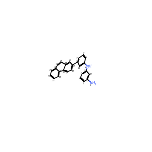 Nc1cccc(Nc2cccc(-c3ccc4c(ccc5ccccc54)c3)c2)c1